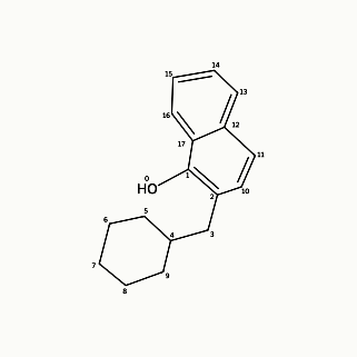 Oc1c(CC2CCCCC2)ccc2ccccc12